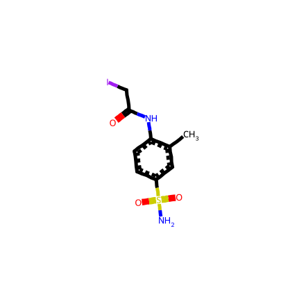 Cc1cc(S(N)(=O)=O)ccc1NC(=O)CI